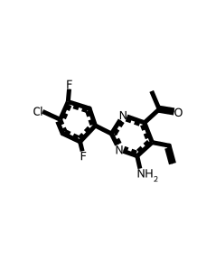 C=Cc1c(N)nc(-c2cc(F)c(Cl)cc2F)nc1C(C)=O